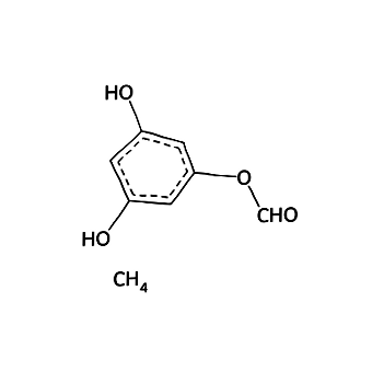 C.O=COc1cc(O)cc(O)c1